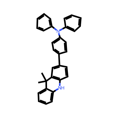 CC1(C)c2ccccc2Nc2ccc(-c3ccc(N(c4ccccc4)c4ccccc4)cc3)cc21